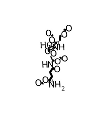 N[C@@H](CCC(=O)N[C@@H](COP(=O)(O)N[C@@H](CCOC=O)OC=O)OC=O)OC=O